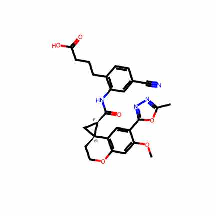 COc1cc2c(cc1-c1nnc(C)o1)[C@]1(CCO2)C[C@H]1C(=O)Nc1cc(C#N)ccc1CCCC(=O)O